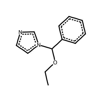 CCOC(c1ccccc1)n1ccnc1